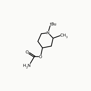 CC1CC(OC(N)=O)CCN1C(C)(C)C